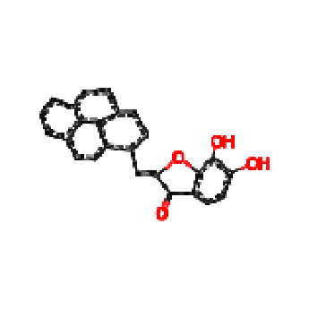 O=C1C(=Cc2ccc3ccc4cccc5ccc2c3c45)Oc2c1ccc(O)c2O